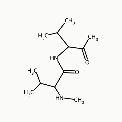 CNC(C(=O)NC(C(C)=O)C(C)C)C(C)C